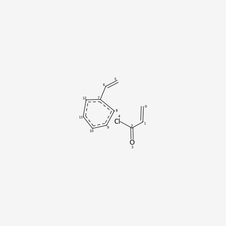 C=CC(=O)Cl.C=Cc1ccccc1